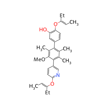 CC=C(CC)Oc1ccc(-c2c(C)c(C)c(-c3ccc(OC(=CC)CC)c(O)c3)c(C)c2OC)cn1